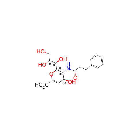 O=C(CCc1ccccc1)N[C@H]1[C@H]([C@H](O)[C@H](O)CO)OC(C(=O)O)=C[C@@H]1O